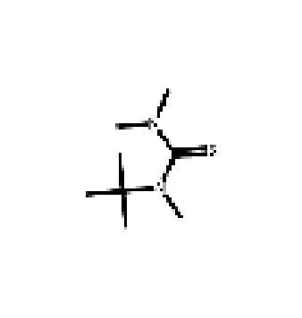 CN(C)C(=S)N(C)C(C)(C)C